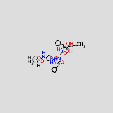 CCCC[C@H](O)[C@H](O)[C@H](CC1CCCCC1)NC(=O)CCNC(=O)[C@H](Cc1ccccc1)NC(=O)N1CCC(NC(=O)OC(C)(C)C)CC1